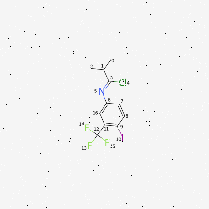 CC(C)/C(Cl)=N/c1ccc(I)c(C(F)(F)F)c1